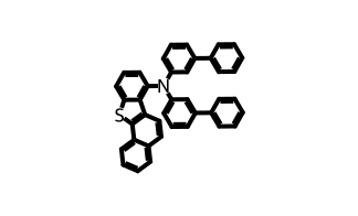 c1ccc(-c2cccc(N(c3cccc(-c4ccccc4)c3)c3cccc4sc5c6ccccc6ccc5c34)c2)cc1